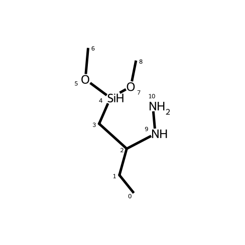 CCC(C[SiH](OC)OC)NN